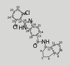 O=C(NC1CCCc2ccccc21)c1ccc2nc(-c3c(Cl)cccc3Cl)[nH]c2c1